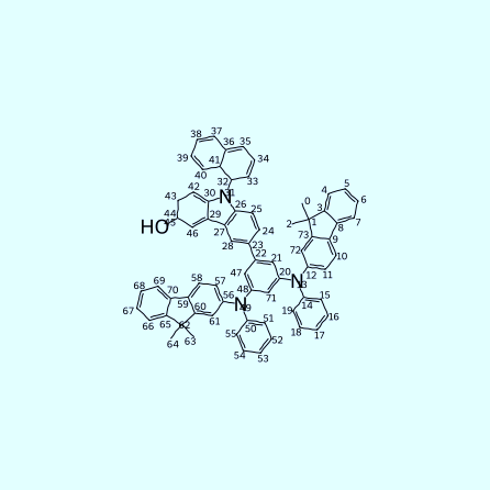 CC1(C)c2ccccc2-c2ccc(N(c3ccccc3)c3cc(-c4ccc5c(c4)c4c(n5C5C=CC=C6C=CC=CC65)=CCC(O)C=4)cc(N(c4ccccc4)c4ccc5c(c4)C(C)(C)c4ccccc4-5)c3)cc21